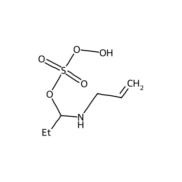 C=CCNC(CC)OS(=O)(=O)OO